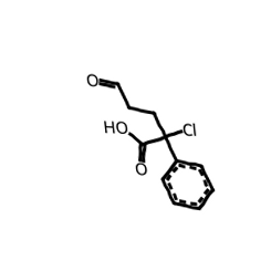 O=CCCC(Cl)(C(=O)O)c1ccccc1